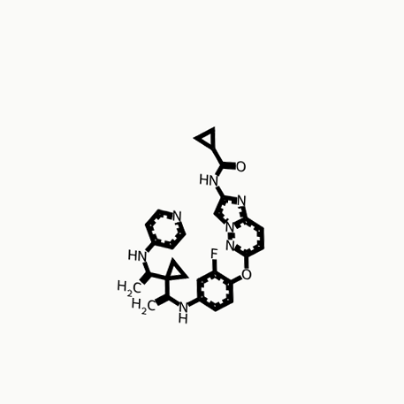 C=C(Nc1ccncc1)C1(C(=C)Nc2ccc(Oc3ccc4nc(NC(=O)C5CC5)cn4n3)c(F)c2)CC1